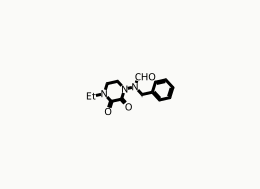 CCN1CCN(N([CH]c2ccccc2)C=O)C(=O)C1=O